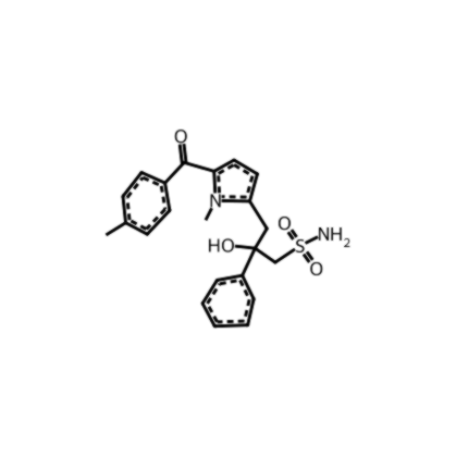 Cc1ccc(C(=O)c2ccc(CC(O)(CS(N)(=O)=O)c3ccccc3)n2C)cc1